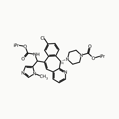 CC(C)OC(=O)NC(C1=Cc2cccnc2[C@@H](N2CCN(C(=O)OC(C)C)CC2)c2ccc(Cl)cc21)c1cncn1C